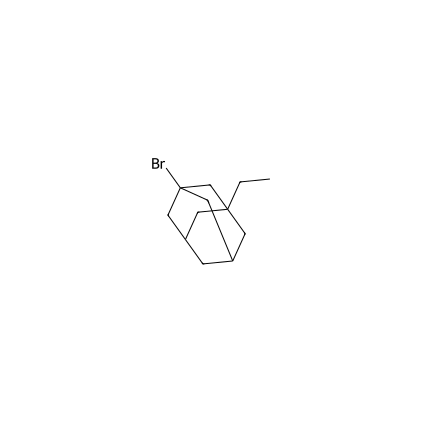 CCC12CC3CC(CC(Br)(C3)C1)C2